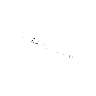 CC(C)Cc1cccc([C@H](C)C(=O)OCCCCCCCCBr)c1